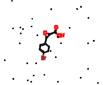 O=C(O)C1OC1C1=CC=C(Br)CC1